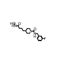 O=C(CCCC1CCN(C(=O)NCc2cccc(F)c2)CC1)NO